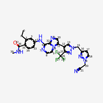 CCc1cc(Nc2nccn3c(-c4cn(Cc5ccn(CC#N)n5)nc4C(F)(F)F)cnc23)ccc1C(=O)NC